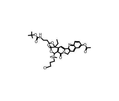 CCC1(OC(=O)CCNC(=O)OC(C)(C)C)C(=O)OC([Si](C)(C)CCCCl)c2c1cc1n(c2=O)Cc2cc3cc(OC(C)=O)ccc3nc2-1